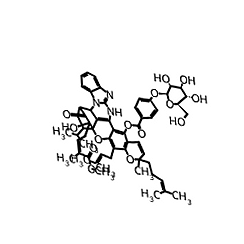 COC(=O)/C(C)=C\CC1(O)C(=O)C2CC(C(C)C)C13Oc1c(CC=C(C)C)c4c(c(OC(=O)c5ccc(O[C@@H]6O[C@H](CO)[C@@H](O)[C@H](O)[C@H]6O)cc5)c1C1=C3C2n2c(nc3ccccc32)N1)C=CC(C)(CCC=C(C)C)O4